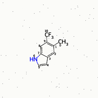 Cc1cc2cc[nH]c2cc1C(F)(F)F